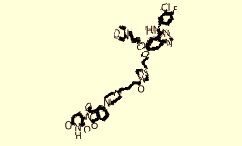 O=C1CCC(N2C(=O)c3ccc(N4CCN(CCCC(=O)N5CCN(CCCOc6cc7ncnc(Nc8ccc(F)c(Cl)c8)c7cc6OCCCN6CCOCC6)CC5)CC4)cc3C2=O)C(=O)N1